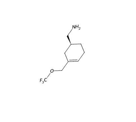 NC[C@H]1CCC=C(COC(F)(F)F)C1